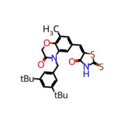 Cc1cc(C=C2SC(=S)NC2=O)cc2c1OCC(=O)N2Cc1cc(C(C)(C)C)cc(C(C)(C)C)c1